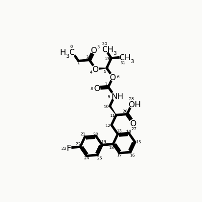 CCC(=O)O[C@H](OC(=O)NC[C@H](Cc1ccccc1-c1ccc(F)cc1)C(=O)O)C(C)C